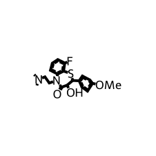 COc1ccc(C2Sc3c(F)cccc3N(CCN(C)C)C(=O)C2O)cc1